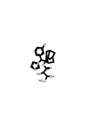 O=C(O)C(O)C(O)C(=O)OC1(C(c2cccc(Cl)c2)n2ccnc2)C2CC3CC(C2)CC1C3